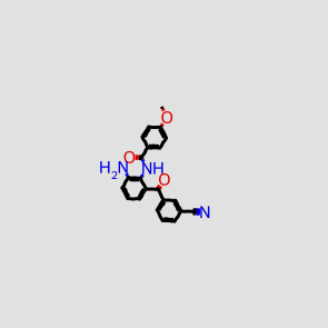 COc1ccc(C(=O)Nc2c(N)cccc2C(=O)c2cccc(C#N)c2)cc1